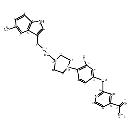 N#Cc1ccc2[nH]cc(CCCN3CCN(c4ccc(Oc5nccc(C(N)=O)n5)cc4F)CC3)c2c1